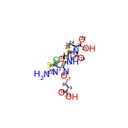 Nc1nc(C(=NOCC=CC(=O)O)C(=O)NC2C(=O)N3C(C(=O)O)=CCS[C@@H]23)c(Cl)s1